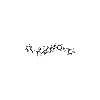 O=C(NCCc1ccccn1)Nc1nc2ccc(OS(=O)(=O)c3ccc(NCc4ccccn4)cc3)cc2[nH]1